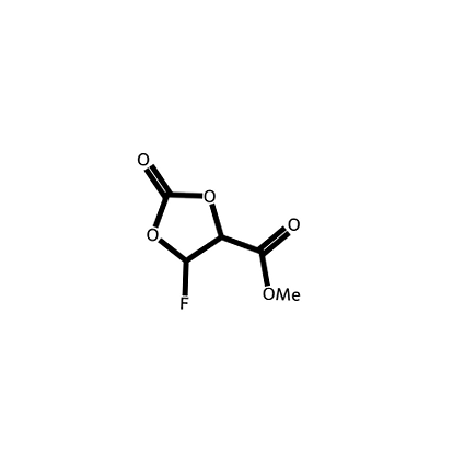 COC(=O)C1OC(=O)OC1F